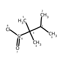 CC(C)C(C)(C)[Si](=O)Cl